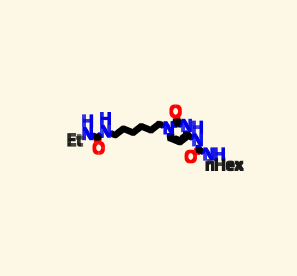 CCCCCCNC(=O)Nc1ccn(CCCCCCNC(=O)NCC)c(=O)n1